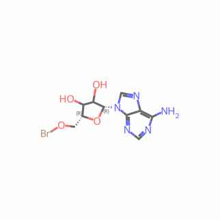 Nc1ncnc2c1ncn2[C@@H]1O[C@H](COBr)C(O)C1O